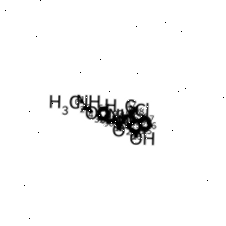 CNCCOc1ccc2[nH]c(C(=O)N3C[C@@H]([C@@H](C)Cl)c4c3cc(O)c3ccccc43)cc2c1